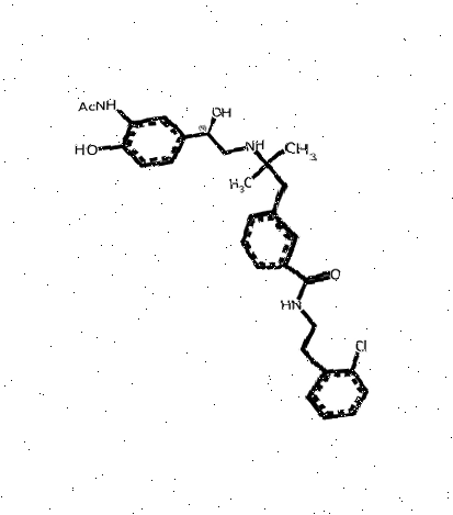 CC(=O)Nc1cc([C@@H](O)CNC(C)(C)Cc2cccc(C(=O)NCCc3ccccc3Cl)c2)ccc1O